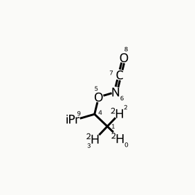 [2H]C([2H])([2H])C(ON=C=O)C(C)C